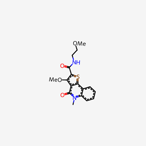 COCCNC(=O)c1sc2c(c1OC)c(=O)n(C)c1ccccc21